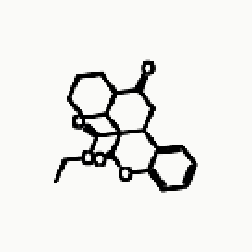 CCOC(=O)C12C(=O)Oc3ccccc3C1CC(=O)C1CCCCC12